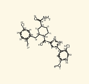 COc1cc(-c2cc(C(=O)N3CCC(C(N)=O)CC3Cc3cc(Cl)ccc3F)n[nH]2)c(Cl)cn1